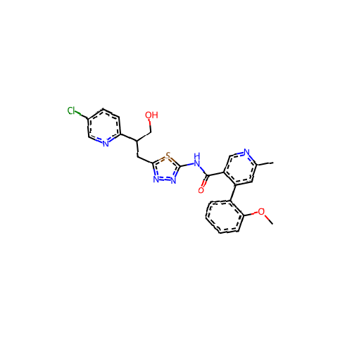 COc1ccccc1-c1cc(C)ncc1C(=O)Nc1nnc(CC(CO)c2ccc(Cl)cn2)s1